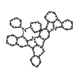 c1ccc(N(c2ccccc2)c2c3ccccc3cc3c4c5ccccc5cc5c6cc7c(cc6n(c23)c54)c2cccc3c4ccccc4n7c32)cc1